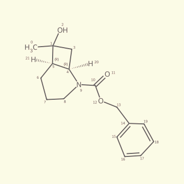 CC1(O)C[C@@H]2[C@H]1CCCN2C(=O)OCc1ccccc1